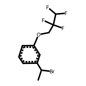 CC(Br)c1cccc(OCC(F)(F)C(F)F)c1